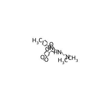 Cc1ccc(S(=O)(=O)n2cc(CNCCCN(C)C)cc2-c2ccc3c(c2)OCO3)cc1